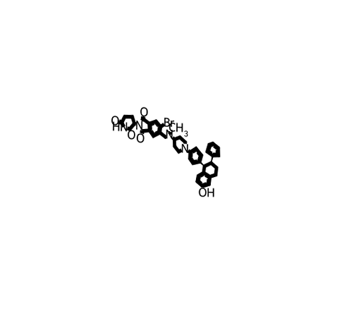 CN(Cc1cc2c(cc1Br)C(=O)N(C1CCC(=O)NC1=O)C2=O)C1CCN(c2ccc([C@@H]3c4ccc(O)cc4CC[C@@H]3c3ccccc3)cc2)CC1